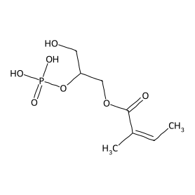 CC=C(C)C(=O)OCC(CO)OP(=O)(O)O